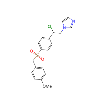 COc1ccc(CS(=O)(=O)c2ccc(C(Cl)Cn3ccnc3)cc2)cc1